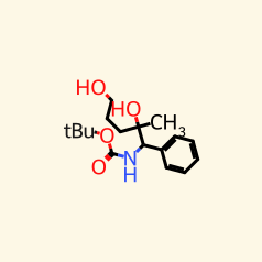 CC(C)(C)OC(=O)NC(c1ccccc1)C(C)(O)CCCO